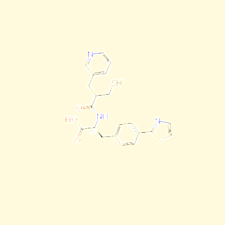 O=C(N[C@@H](Cc1ccc(-c2nccs2)cc1)C(=O)O)C(CS)Cc1cccnc1